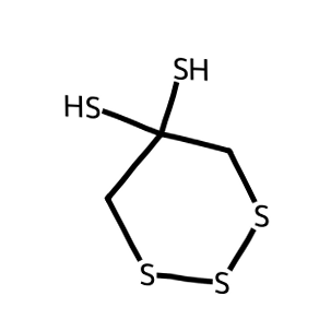 SC1(S)CSSSC1